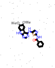 COc1cc2[nH]c3ncnc(Nc4cnc(NC(=O)c5ccccc5)s4)c3c2cc1OC